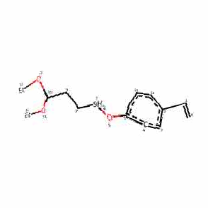 C=Cc1ccc(O[SiH2]CCC(OCC)OCC)cc1